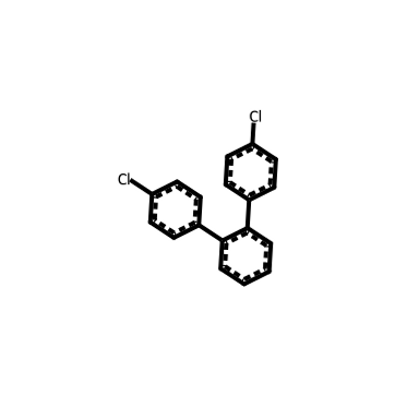 Clc1ccc(-c2ccccc2-c2ccc(Cl)cc2)cc1